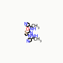 C[C@H](NC(=O)c1nc(N[C@@H](C)c2ccncc2)nc2ccsc12)c1ccncc1